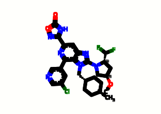 CO[C@@H]1C[C@@H](C(F)F)N(c2nc3cc(-c4noc(=O)[nH]4)nc(-c4cncc(Cl)c4)c3n2C[C@H]2CC[C@H](C)CC2)C1